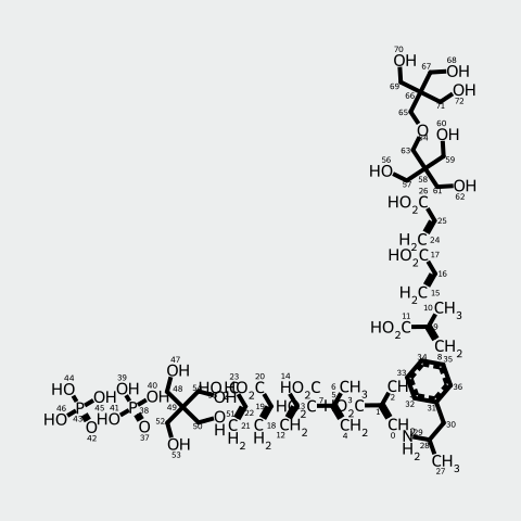 C=C(C)C(=O)O.C=C(C)C(=O)O.C=C(C)C(=O)O.C=CC(=O)O.C=CC(=O)O.C=CC(=O)O.C=CC(=O)O.C=CC(=O)O.CC(N)Cc1ccccc1.O=P(O)(O)O.O=P(O)(O)O.OCC(CO)(CO)CO.OCC(CO)(CO)COCC(CO)(CO)CO